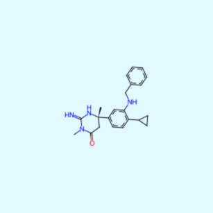 CN1C(=N)N[C@](C)(c2ccc(C3CC3)c(NCc3ccccc3)c2)CC1=O